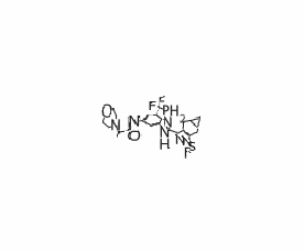 CC(C(=O)N(C)c1cc(C(F)(F)P)c2nc(-c3nn(SF)c4c3CC3CC3C4)[nH]c2c1)N1CCOCC1